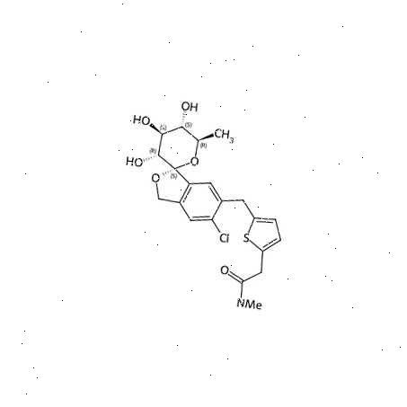 CNC(=O)Cc1ccc(Cc2cc3c(cc2Cl)CO[C@]32O[C@H](C)[C@@H](O)[C@H](O)[C@H]2O)s1